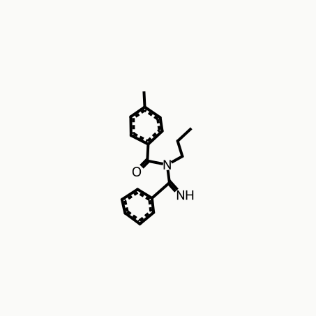 CCCN(C(=N)c1ccccc1)C(=O)c1ccc(C)cc1